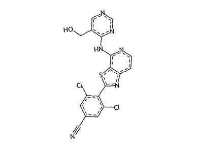 N#Cc1cc(Cl)c(-c2nc3ccnc(Nc4ncncc4CO)c3s2)c(Cl)c1